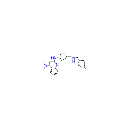 Cc1ccc(CNC[C@H]2CC[C@@H](Nc3cc(N(C)C)c4ccccc4n3)CC2)cc1